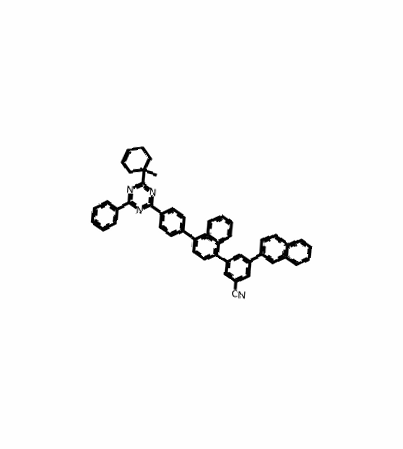 CC1(c2nc(-c3ccccc3)nc(-c3ccc(-c4ccc(-c5cc(C#N)cc(-c6ccc7ccccc7c6)c5)c5ccccc45)cc3)n2)CC=CCC1